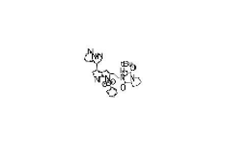 CC(C)(C)OC(=O)N1CCCC[C@H]1C(=O)NCCc1cc2c(-c3cnn4ncccc34)ccnc2n1S(=O)(=O)c1ccccc1